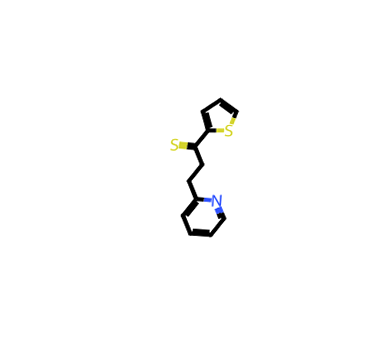 S=C(CCc1ccccn1)c1cccs1